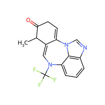 CC1C(=O)CC=c2c1cn(C(F)(F)F)c1cccc3ncn2c31